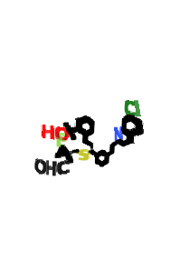 CC(C)(O)c1ccccc1CC[C@@H](SC[C@]1(CC=O)C[C@H]1F)c1cccc(/C=C/c2ccc3ccc(Cl)cc3n2)c1